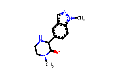 CN1CCNC(c2ccc3c(cnn3C)c2)C1=O